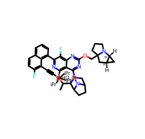 CC1Oc2nc(-c3cccc4ccc(F)c(C#C[Si](C(C)C)(C(C)C)C(C)C)c34)c(F)c3nc(OCC45CCCN4[C@@H]4C[C@@H]4C5)nc(c23)N2CC3CCC(C12)N3C(=O)O